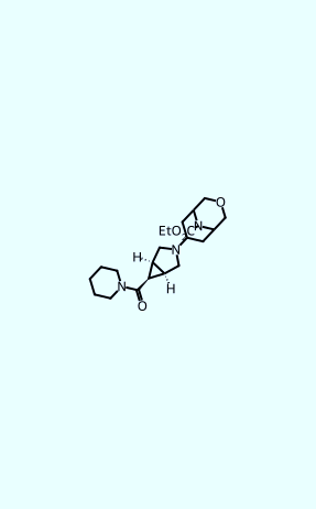 CCOC(=O)N1C2COCC1CC(N1C[C@@H]3[C@H](C1)[C@@H]3C(=O)N1CCCCC1)C2